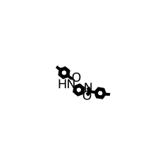 Cc1ccc(C(=O)Nc2ccc3oc(-c4ccc(C)cc4)nc3c2)cc1